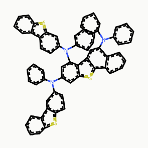 c1ccc(N(c2cc(N(c3ccccc3)c3ccc4c(c3)sc3ccccc34)c3c(c2)sc2c4ccccc4c(N(c4ccccc4)c4ccccc4)cc23)c2ccc3sc4ccccc4c3c2)cc1